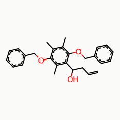 C=CCC(O)c1c(C)c(OCc2ccccc2)c(C)c(C)c1OCc1ccccc1